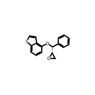 c1ccc(C(Oc2cccc3sccc23)[C@@H]2CO2)cc1